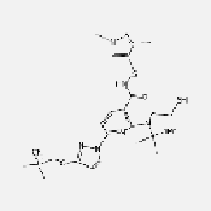 CCCC(C)(C)N(CCS)c1nc(-n2ccc(OCC(C)(C)C(F)(F)F)n2)ccc1C(=O)NSc1cn(C)nc1C